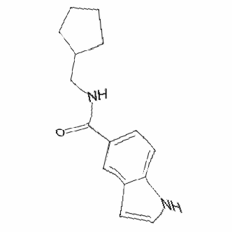 O=C(NCC1CCCC1)c1ccc2[nH]ccc2c1